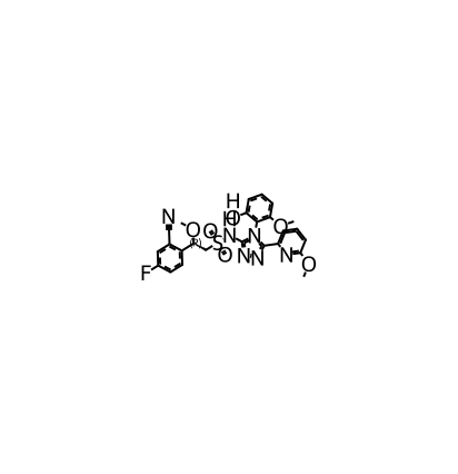 COC1=NC(c2nnc(NS(=O)(=O)C[C@H](OC)c3ccc(F)cc3C#N)n2-c2c(O)cccc2OC)=C=C=C1